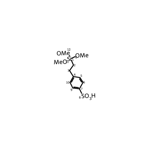 CO[Si](CCc1ccc(S(=O)(=O)O)cc1)(OC)OC